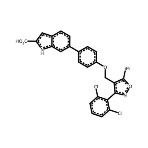 CC(C)c1onc(-c2c(Cl)cccc2Cl)c1COc1ccc(-c2ccc3cc(C(=O)O)[nH]c3c2)cc1